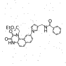 CCOC(=O)Cn1c(=O)c(=O)[nH]c2ccc3ccc(-n4ccc(CNC(=O)c5ccccc5)c4)cc3c21